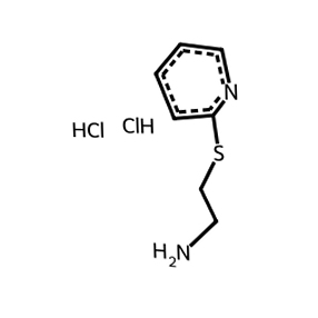 Cl.Cl.NCCSc1ccccn1